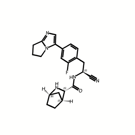 N#C[C@H](Cc1ccc(-c2cnc3n2CCC3)cc1F)NC(=O)[C@H]1N[C@@H]2CC[C@H]1C2